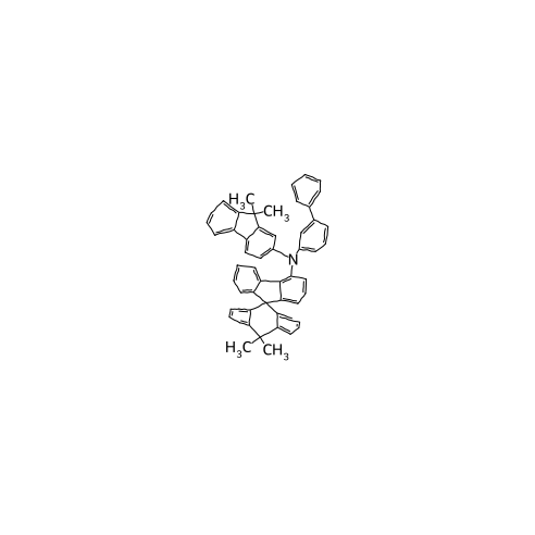 CC1(C)c2ccccc2-c2ccc(N(c3cccc(-c4ccccc4)c3)c3cccc4c3-c3ccccc3C43c4ccccc4C(C)(C)c4ccccc43)cc21